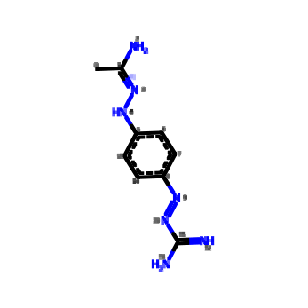 C/C(N)=N\Nc1ccc(N=NC(=N)N)cc1